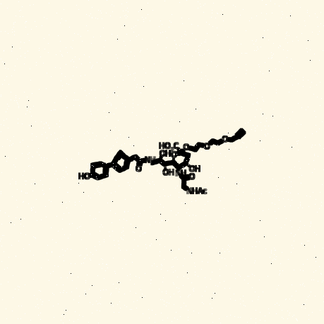 C#CCOCCOCCO[C@]1(C(=O)O)C[C@H](O)[C@@H](NC(=O)CNC(C)=O)[C@H]([C@H](O)[C@H](O)CNC(=O)Cc2ccc(-c3ccc(O)cc3)cc2)O1